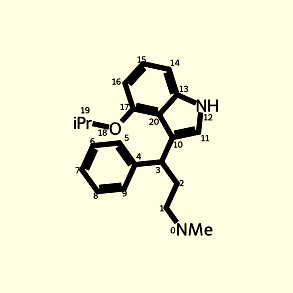 CNCCC(c1ccccc1)c1c[nH]c2cccc(OC(C)C)c12